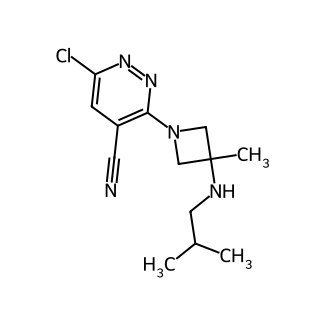 CC(C)CNC1(C)CN(c2nnc(Cl)cc2C#N)C1